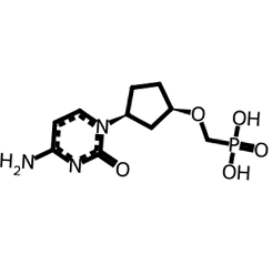 Nc1ccn([C@H]2CC[C@@H](OCP(=O)(O)O)C2)c(=O)n1